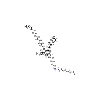 CCCCCCCC/C=C\CCCCCCCC(=O)N[C@@H](COC(=O)CN1CCOCC1)[C@@H]1OC(C)(C)C[C@@H]1CCCCCCCCCCCCCC